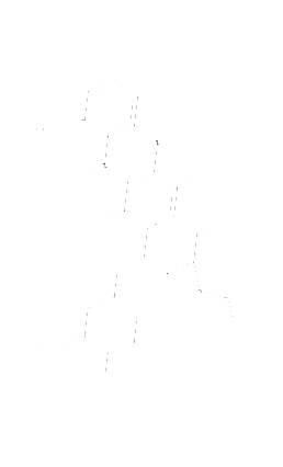 COc1cccc2c1C(=O)c1c(O)c3c(c(O)c1C2=O)C[C@@](O)(C(=O)CO)C[C@@H]3OC1CC(OC(C)=O)C(OC(C)=O)C(C)O1